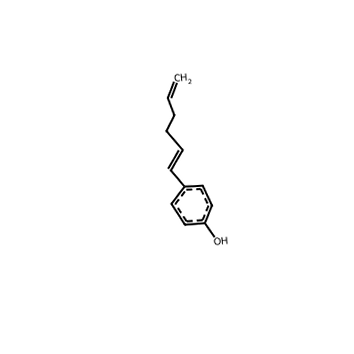 C=CCCC=Cc1ccc(O)cc1